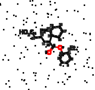 CCc1ccccc1OC(=O)C(=CC=CC(=O)O)c1ccccc1CC